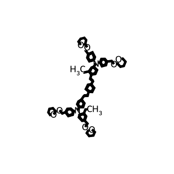 CCc1cc(N(c2ccc(COC3CCCCO3)cc2)c2ccc(COC3CCCCO3)cc2)ccc1C=Cc1ccc(C=Cc2ccc(N(c3ccc(COC4CCCCO4)cc3)c3ccc(COC4CCCCO4)cc3CC)cc2)cc1